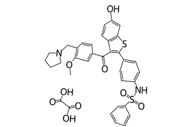 COc1cc(C(=O)c2c(-c3ccc(NS(=O)(=O)c4ccccc4)cc3)sc3cc(O)ccc23)ccc1CN1CCCC1.O=C(O)C(=O)O